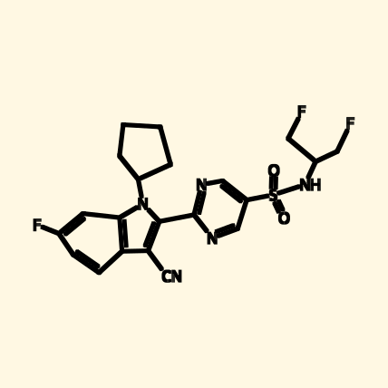 N#Cc1c(-c2ncc(S(=O)(=O)NC(CF)CF)cn2)n(C2CCCC2)c2cc(F)ccc12